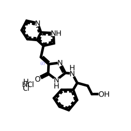 Cl.Cl.O=C1NC(NC(CCO)c2ccccc2)=N/C1=C\c1c[nH]c2ncccc12